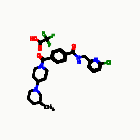 CC1CCCN(C2CCN(C(=O)c3ccc(C(=O)NCc4cccc(Cl)n4)cc3)CC2)C1.O=C(O)C(F)(F)F